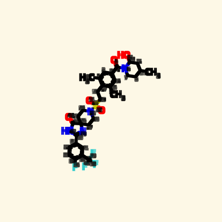 Cc1cc(C(=O)N2CCC(C)CC2O)cc(C)c1CCS(=O)(=O)N1CCC2(CC1)N=C(c1ccc(F)c(C(F)(F)F)c1)NC2=O